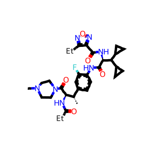 CCC(=O)N[C@@H](C(=O)N1CCN(C)CC1)[C@@H](C)c1ccc(NC(=O)[C@@H](NC(=O)c2nonc2CC)C(C2CC2)C2CC2)c(F)c1